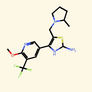 COc1ncc(C2=C(CN3CCCC3C)SC(N)N2)cc1C(F)(F)F